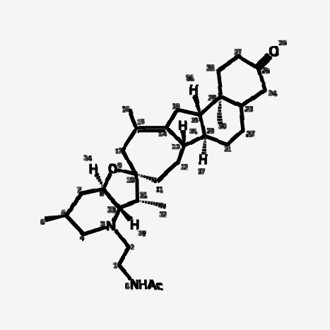 CC(=O)NCCN1C[C@@H](C)C[C@H]2O[C@]3(CC[C@@H]4C(=C(C)C3)C[C@H]3[C@H]4CCC4CC(=O)CC[C@@]43C)[C@H](C)[C@@H]21